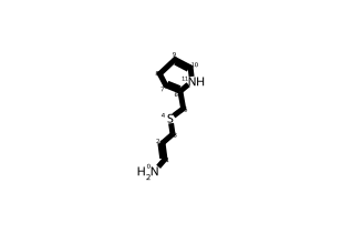 NC=CCSCC1=CCC=CN1